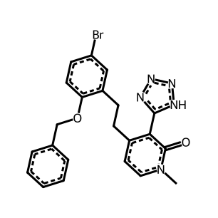 Cn1ccc(CCc2cc(Br)ccc2OCc2ccccc2)c(-c2nnn[nH]2)c1=O